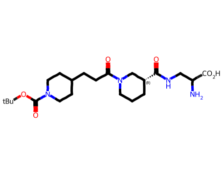 CC(C)(C)OC(=O)N1CCC(CCC(=O)N2CCC[C@@H](C(=O)NCC(N)C(=O)O)C2)CC1